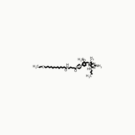 CCCCCCCCCCCCCCCCCC(=O)NCCCCC(=O)N1CCN(c2ccc(Cn3nc4c(NCCCC)nc(N)nc4c3C)c(OC)c2)CC1